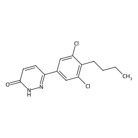 CCCCc1c(Cl)cc(-c2ccc(=O)[nH]n2)cc1Cl